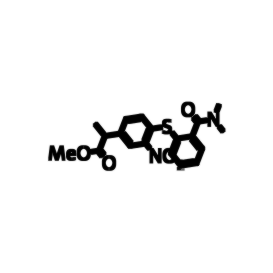 COC(=O)C(C)c1ccc(Sc2ccccc2C(=O)N(C)C)c([N+](=O)[O-])c1